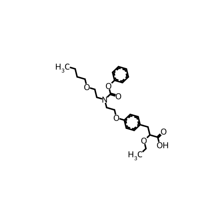 CCCCOCCN(CCOc1ccc(CC(OCC)C(=O)O)cc1)C(=O)Oc1ccccc1